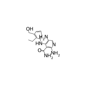 CCc1c(CO)cccc1Nc1c(N)cnc(N)c1C(N)=O